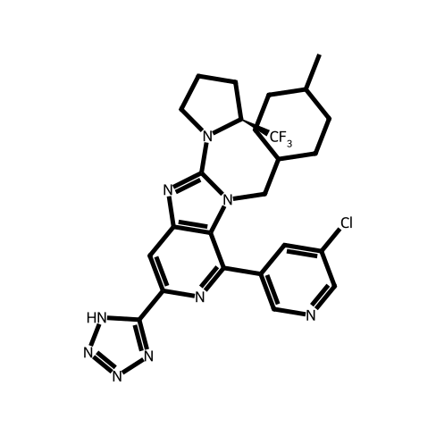 CC1CCC(Cn2c(N3CCC[C@H]3C(F)(F)F)nc3cc(-c4nnn[nH]4)nc(-c4cncc(Cl)c4)c32)CC1